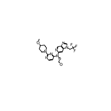 COC1CCN(c2nccc(N(OC=O)c3cc4c(cn3)ncn4CC(F)(F)F)n2)CC1